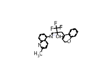 Cc1ccc2c(/N=C/C(O)(CC3=CCOc4ccccc43)C(F)(F)F)cccc2n1